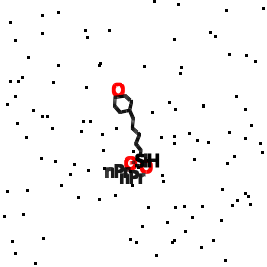 CCCO[SiH](CCCCCC1CCC2OC2C1)OCCC